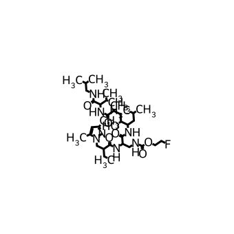 CCC(Cn1nc(C)cc1C)C(=O)NC(CNC(=O)OCCF)C(=O)NC(CC(C)C)C(O)CC(C)C(=O)NC(C(=O)NCC(C)C)C(C)C